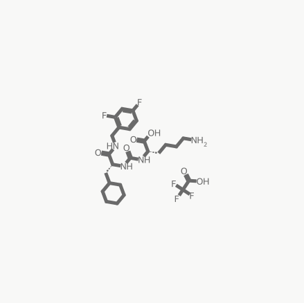 NCCCC[C@H](NC(=O)N[C@H](CC1CCCCC1)C(=O)NCc1ccc(F)cc1F)C(=O)O.O=C(O)C(F)(F)F